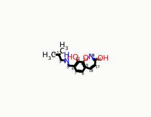 CC(C)CNCc1ccc2c(c1O)ON=C(O)C=C2